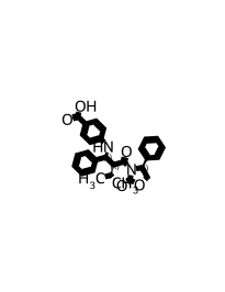 CC(C)[C@@H](C(=O)N1C(=O)OC[C@@H]1c1ccccc1)[C@H](Nc1ccc(C(=O)O)cc1)c1ccccc1